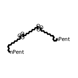 CCCCC/C=C\C/C=C\CCCCCCCC(=O)OC(=O)CCCCCCCCC(=O)OC(=O)CCCCCCC/C=C\C/C=C\CCCCC